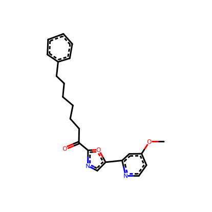 COc1ccnc(-c2cnc(C(=O)CCCCCCc3ccccc3)o2)c1